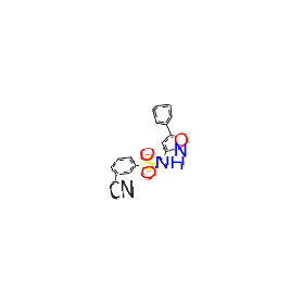 N#Cc1cccc(S(=O)(=O)Nc2cc(-c3ccccc3)on2)c1